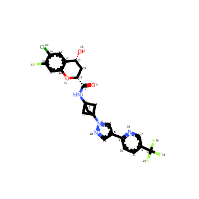 O=C(NC12CC(n3cc(-c4ccc(C(F)(F)F)cn4)cn3)(C1)C2)[C@H]1C[C@@H](O)c2cc(Cl)c(F)cc2O1